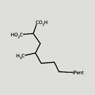 CCCC(C)CCCC(C)CC(C(=O)O)C(=O)O